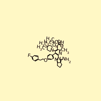 Cc1nc(-n2nc3c(c2N)CCC3)c(-c2ccc(OCCc3ccc(F)cc3)cc2)c(N2CCC(C)(C)CC2)c1[C@H](OC(C)(C)C)C(=O)O